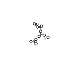 CC1(C)c2ccccc2-c2ccc(N(c3ccc(-c4ccc5c(c4)c4ccccc4n5-c4ccccc4)cc3)c3ccc(-n4c5ccccc5c5c6oc7ccccc7c6ccc54)cc3)cc21